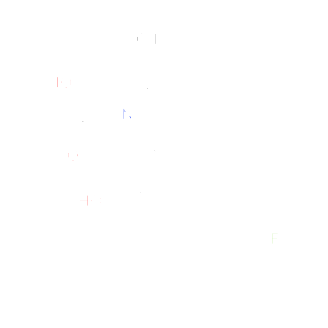 CC12CCC(C(O)c3cccc(F)c3)(CC1)N2C(=O)O